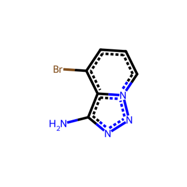 Nc1nnn2cccc(Br)c12